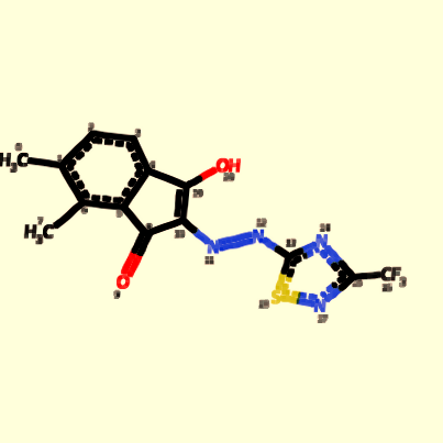 Cc1ccc2c(c1C)C(=O)C(N=Nc1nc(C(F)(F)F)ns1)=C2O